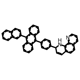 C1=CC(c2ccc(-c3c4ccccc4c(-c4ccc5ccccc5c4)c4ccccc34)cc2)Nc2c1ccc1cccnc21